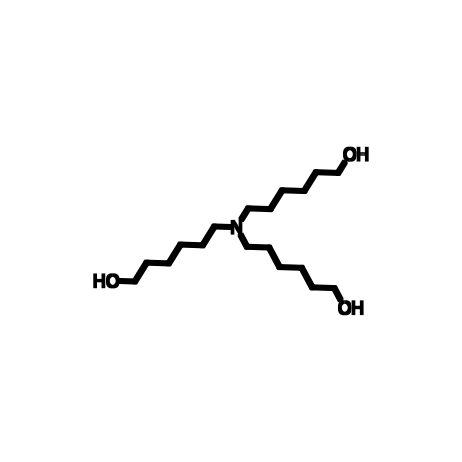 OCCCCCCN(CCCCCCO)CCCCCCO